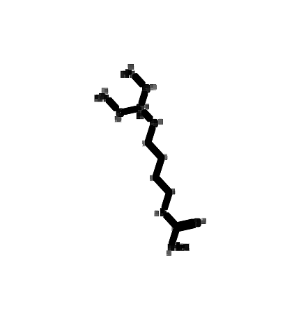 CCCCCCC(=O)SCCCCO[SiH](OCCC)OCCC